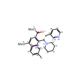 COC(=O)c1cc(OC)ccc1CN1[C@@H](c2ncccc2C)CCC[C@H]1c1ncccc1C